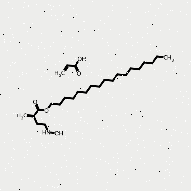 C=C(CCNO)C(=O)OCCCCCCCCCCCCCCCCCC.C=CC(=O)O